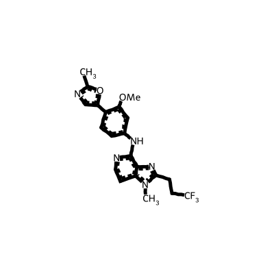 COc1cc(Nc2nccc3c2nc(CCC(F)(F)F)n3C)ccc1-c1cnc(C)o1